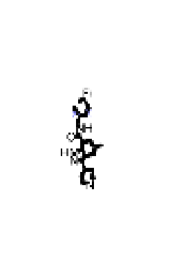 C=C(/C=C\C(=C/C)CNC(=O)c1cc(C)cc2c(-c3ccncc3)n[nH]c12)CC